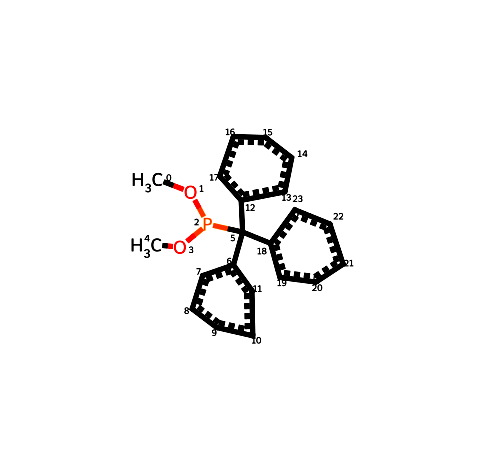 COP(OC)C(c1ccccc1)(c1ccccc1)c1ccccc1